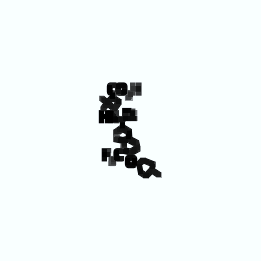 CCC(NC1CC(C(=O)O)C1(C)C)c1ccc2c(C(F)(F)F)c(OC3CCC(C)CC3)ccc2c1